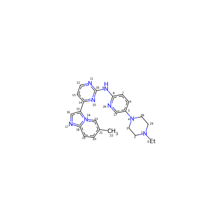 CCN1CCN(c2ccc(Nc3nccc(-c4cnc5ccc(C)cn45)n3)nc2)CC1